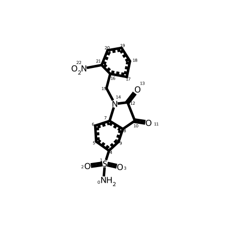 NS(=O)(=O)c1ccc2c(c1)C(=O)C(=O)N2Cc1ccccc1[N+](=O)[O-]